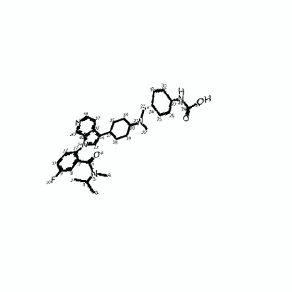 CC(C)N(C)C(=O)c1cc(F)ccc1-n1cc(C2CCC(N(C)C[C@H]3CC[C@H](NC(=O)O)CC3)CC2)c2ccncc21